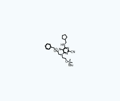 CC(C)(C)[Si](C)(C)OCCN(CCOCc1ccccc1)c1nc(C#N)nc(NCC2CCCC2)c1[N+](=O)[O-]